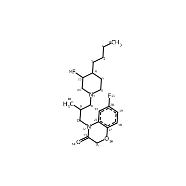 CCCCC1CCN(CC(C)CN2C(=O)COc3ccc(F)cc32)CC1F